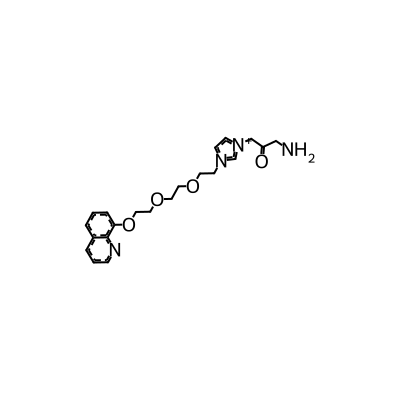 NCC(=O)C[n+]1ccn(CCOCCOCCOc2cccc3cccnc23)c1